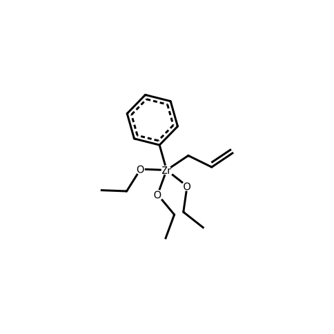 C=C[CH2][Zr]([O]CC)([O]CC)([O]CC)[c]1ccccc1